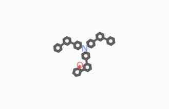 c1ccc(-c2cccc(-c3ccc(N(c4ccc(-c5cccc(-c6ccccc6)c5)cc4)c4ccc(-c5cccc6c5oc5ccccc56)cc4)cc3)c2)cc1